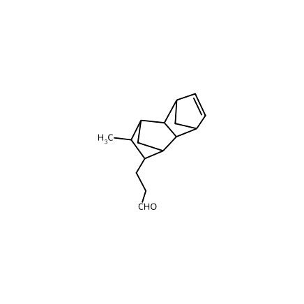 CC1C(CCC=O)C2CC1C1C3C=CC(C3)C21